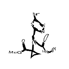 COC(=O)C1(N(Cc2nnc(Br)s2)C(=O)NC(C)C)CC1